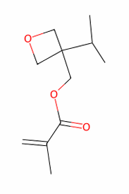 C=C(C)C(=O)OCC1(C(C)C)COC1